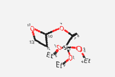 CCO[Si](OCC)(OCC)C(C)OC1CCO1